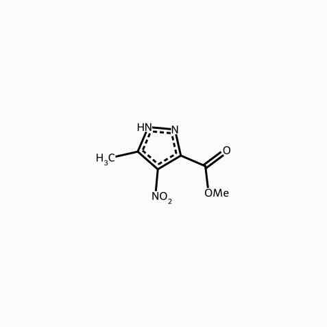 COC(=O)c1n[nH]c(C)c1[N+](=O)[O-]